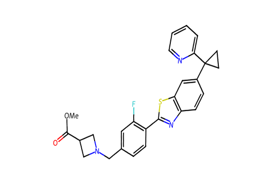 COC(=O)C1CN(Cc2ccc(-c3nc4ccc(C5(c6ccccn6)CC5)cc4s3)c(F)c2)C1